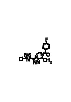 CC1c2nnc(-c3nc(Cl)ns3)n2CCN1C(=O)c1ccc(F)cc1